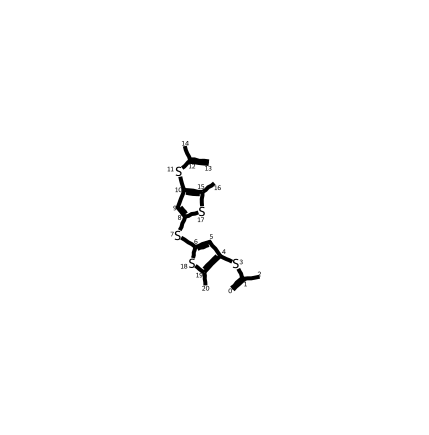 C=C(C)Sc1cc(Sc2cc(SC(=C)C)c(C)s2)sc1C